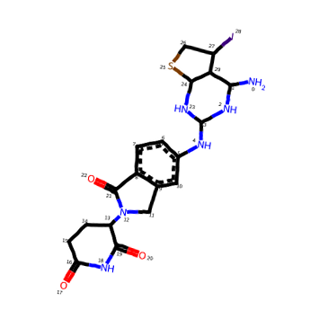 NC1NC(Nc2ccc3c(c2)CN(C2CCC(=O)NC2=O)C3=O)NC2SCC(I)C12